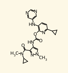 CN(C(=O)c1nn(C)cc1NC(=O)Oc1nc(C2CC2)ccc1Nc1cncnc1)C1CC1